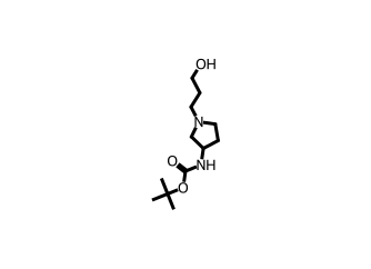 CC(C)(C)OC(=O)NC1CCN(CCCO)C1